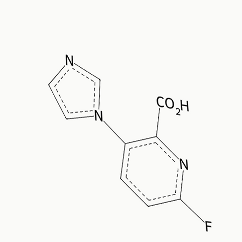 O=C(O)c1nc(F)ccc1-n1ccnc1